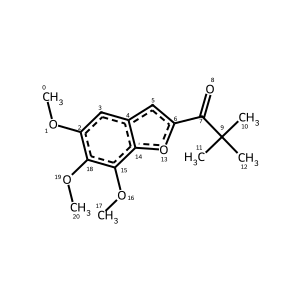 COc1cc2cc(C(=O)C(C)(C)C)oc2c(OC)c1OC